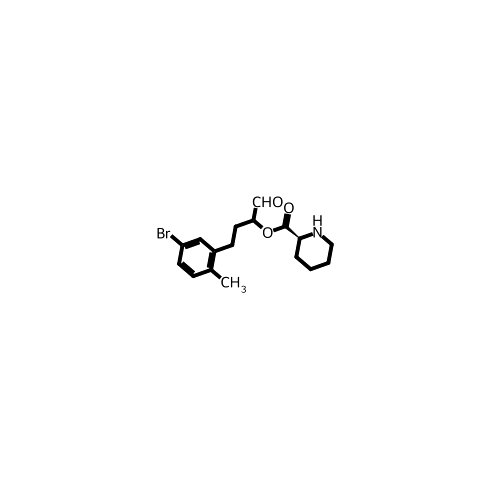 Cc1ccc(Br)cc1CCC(C=O)OC(=O)[C@@H]1CCCCN1